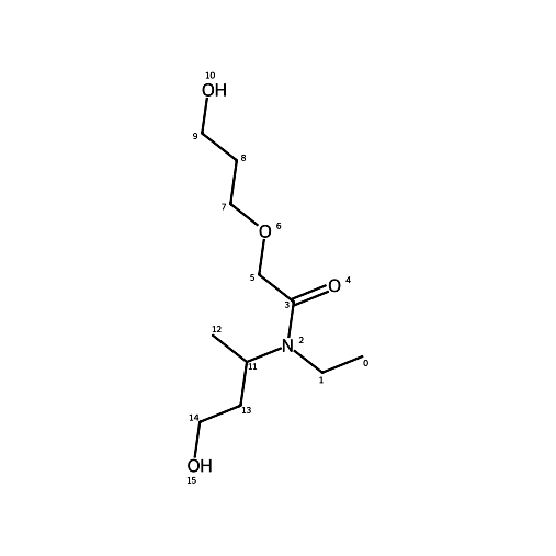 CCN(C(=O)COCCCO)C(C)CCO